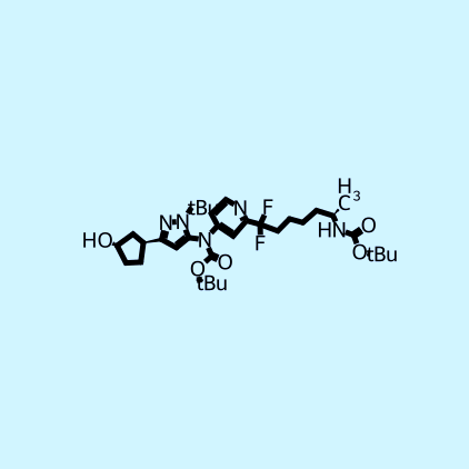 C[C@@H](CCCCC(F)(F)c1cc(N(C(=O)OC(C)(C)C)c2cc([C@H]3CC[C@@H](O)C3)nn2C(C)(C)C)ccn1)NC(=O)OC(C)(C)C